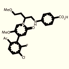 COCCC(CNc1ccc(C(=O)O)cc1)n1cc(OC)c(-c2c(C(C)=O)ccc(Cl)c2F)cc1=O